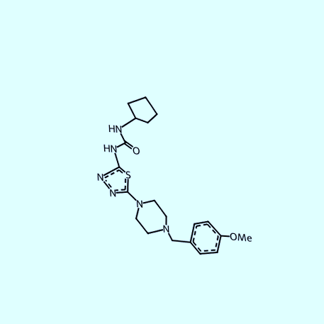 COc1ccc(CN2CCN(c3nnc(NC(=O)NC4CCCC4)s3)CC2)cc1